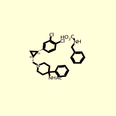 CC(=O)NC1(c2ccccc2)CCN(C[C@@H]2C[C@@H]2c2ccc(Cl)c(Cl)c2)CC1.O=C(O)NCc1ccccc1